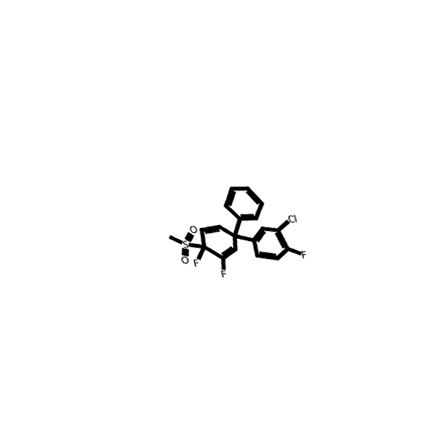 CS(=O)(=O)C1(F)C=CC(c2ccccc2)(c2ccc(F)c(Cl)c2)C=C1F